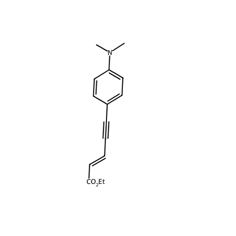 CCOC(=O)/C=C/C#Cc1ccc(N(C)C)cc1